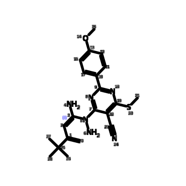 C=C(/C=C(/N)N(N)c1nc(-c2ccc(OC)cc2)nc(SC)c1C#N)C(C)(C)C